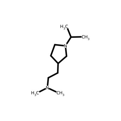 CC(C)N1CCC(CCN(C)C)C1